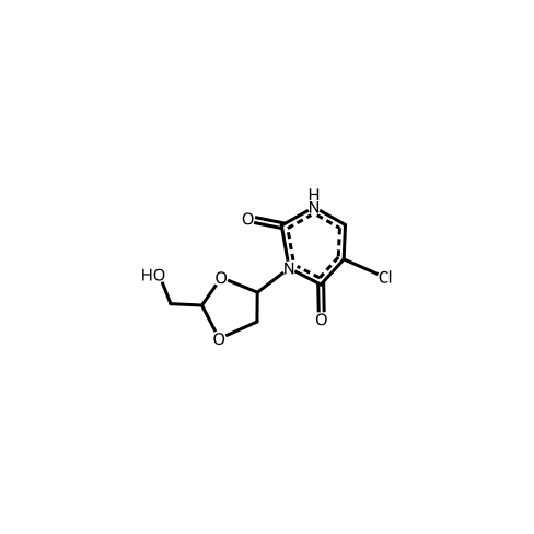 O=c1[nH]cc(Cl)c(=O)n1C1COC(CO)O1